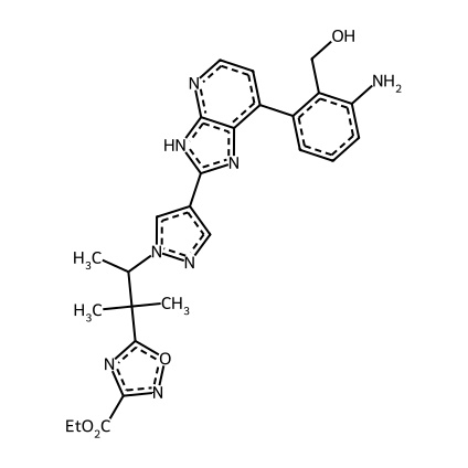 CCOC(=O)c1noc(C(C)(C)C(C)n2cc(-c3nc4c(-c5cccc(N)c5CO)ccnc4[nH]3)cn2)n1